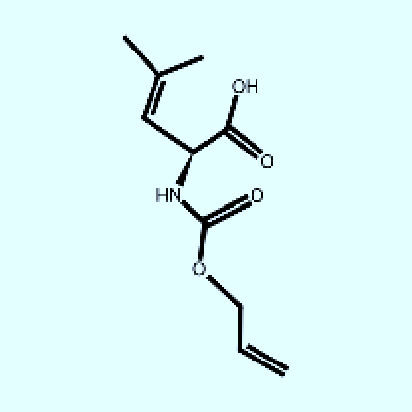 C=CCOC(=O)N[C@@H](C=C(C)C)C(=O)O